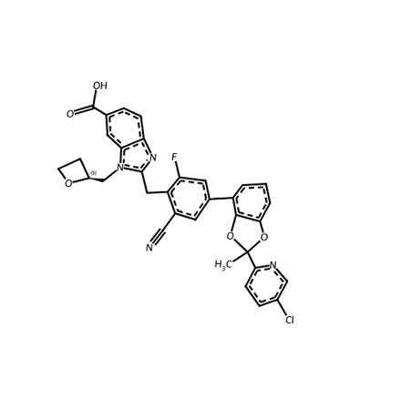 CC1(c2ccc(Cl)cn2)Oc2cccc(-c3cc(F)c(Cc4nc5ccc(C(=O)O)cc5n4C[C@@H]4CCO4)c(C#N)c3)c2O1